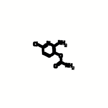 NC(=O)Oc1ccc(Cl)nc1N